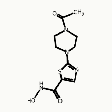 CC(=O)N1CCN(c2ncc(C(=O)NO)s2)CC1